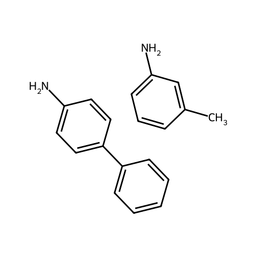 Cc1cccc(N)c1.Nc1ccc(-c2ccccc2)cc1